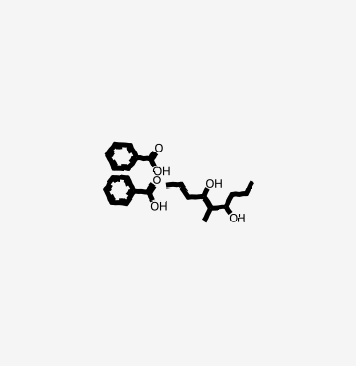 CCCC(O)C(C)C(O)CCC.O=C(O)c1ccccc1.O=C(O)c1ccccc1